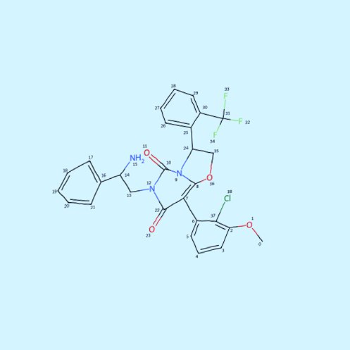 COc1cccc(-c2c3n(c(=O)n(CC(N)c4ccccc4)c2=O)C(c2ccccc2C(F)(F)F)CO3)c1Cl